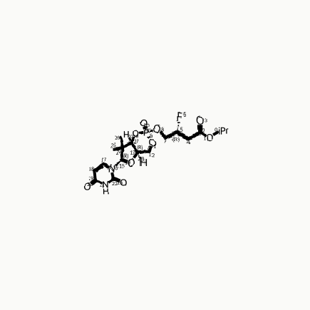 CC(C)OC(=O)C[C@@H](F)CO[P@@]1(=O)OC[C@H]2O[C@@H](n3ccc(=O)[nH]c3=O)C(C)(C)[C@@H]2O1